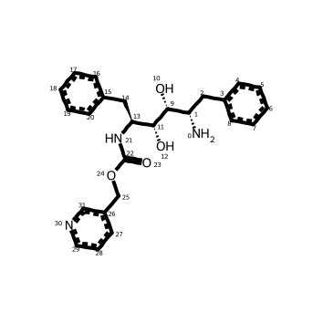 N[C@@H](Cc1ccccc1)[C@@H](O)[C@H](O)[C@H](Cc1ccccc1)NC(=O)OCc1cccnc1